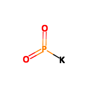 O=[P](=O)[K]